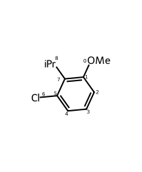 COc1cccc(Cl)c1C(C)C